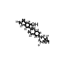 C[C@@H]1CN(c2ccc3nc(-c4cc5cn(C)nc5cc4O)ncc3c2)CC2(CC2)N1